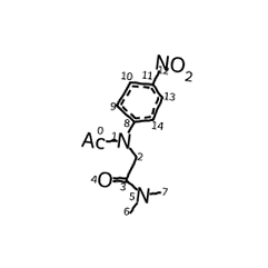 CC(=O)N(CC(=O)N(C)C)c1ccc([N+](=O)[O-])cc1